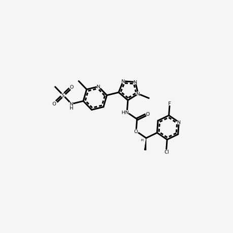 Cc1nc(-c2nnn(C)c2NC(=O)O[C@H](C)c2cc(F)ncc2Cl)ccc1NS(C)(=O)=O